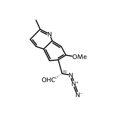 COc1cc2nc(C)ccc2cc1[C@@H](C=O)N=[N+]=[N-]